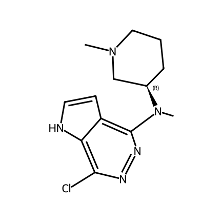 CN1CCC[C@@H](N(C)c2nnc(Cl)c3[nH]ccc23)C1